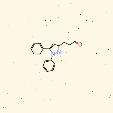 O=CCCc1cc(-c2ccccc2)n(-c2ccccc2)n1